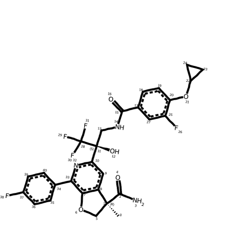 C[C@]1(C(N)=O)COc2c1cc([C@@](O)(CNC(=O)c1ccc(OC3CC3)c(F)c1)C(F)(F)F)nc2-c1ccc(F)cc1